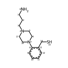 NCCCN1CCN(c2ccccc2CS)CC1